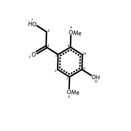 COc1cc(C(=O)CO)c(OC)cc1O